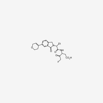 CCC(C(=O)NC(CC(=O)O)C(=O)CF)N1Cc2ccc(C3=CCOCC3)cc2C1=O